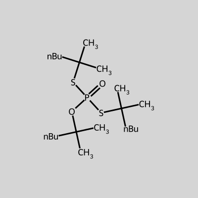 CCCCC(C)(C)OP(=O)(SC(C)(C)CCCC)SC(C)(C)CCCC